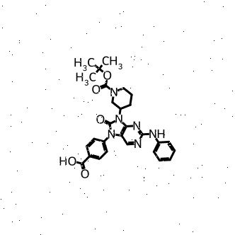 CC(C)(C)OC(=O)N1CCCC(n2c(=O)n(-c3ccc(C(=O)O)cc3)c3cnc(Nc4ccccc4)nc32)C1